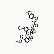 C=C(Cc1cc2c(cc1OC)CCO2)C(=O)Oc1cnn(CCCC)c1-c1ccc(Cl)cc1OCc1c(Cl)cccc1C(=O)O